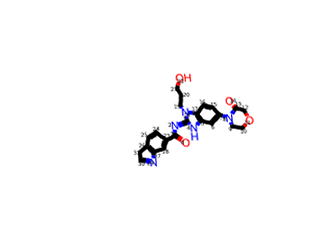 O=C(/N=c1\[nH]c2cc(N3CCOCC3=O)ccc2n1CCCO)c1ccc2c(c1)N=CC2